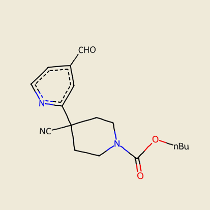 CCCCOC(=O)N1CCC(C#N)(c2cc(C=O)ccn2)CC1